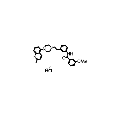 COc1cccc(C(=O)Nc2cccc(CCN3CCN(c4cccc5nc(C)ccc45)CC3)c2)c1.Cl.Cl